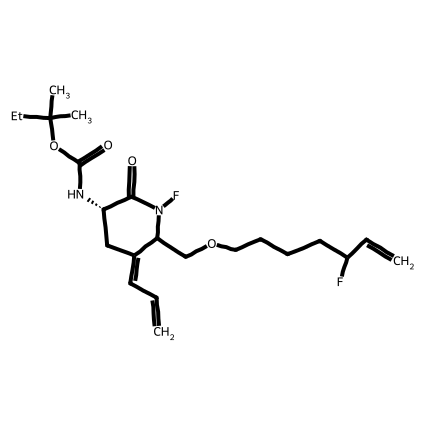 C=C/C=C1/C[C@H](NC(=O)OC(C)(C)CC)C(=O)N(F)C1COCCCCC(F)C=C